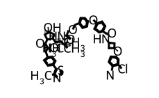 Cc1ncsc1-c1ccc(CNC(=O)C2C[C@@H](O)CC2C(=O)[C@@H](NC(=O)COCc2ccc(Oc3ccc(C(=O)N[C@H]4C[C@H](Oc5ccc(C#N)c(Cl)c5)C4)cc3)cc2)C(C)(C)C)cc1